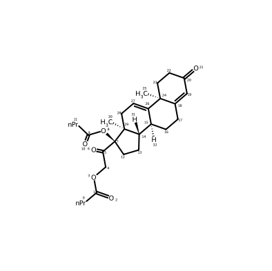 CCCC(=O)OCC(=O)[C@@]1(OC(=O)CCC)CC[C@H]2[C@@H]3CCC4=CC(=O)CC[C@]4(C)C3=CC[C@@]21C